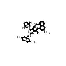 C#Cc1cccc2cc(N)cc(-c3ncc4c(N5C[C@H]6CC[C@@H](C5)N6)nc(OCC56CC(=C)CN5CC(=C)C6)nc4c3F)c12